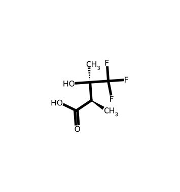 C[C@@H](C(=O)O)[C@@](C)(O)C(F)(F)F